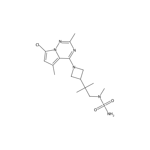 Cc1nc(N2CC(C(C)(C)CN(C)S(N)(=O)=O)C2)c2c(C)cc(Cl)n2n1